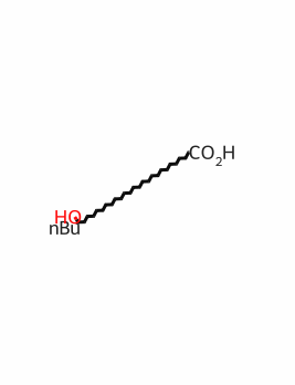 CCCCC(O)CCCCCCCCCCCCCCCCCCCCCCCCC(=O)O